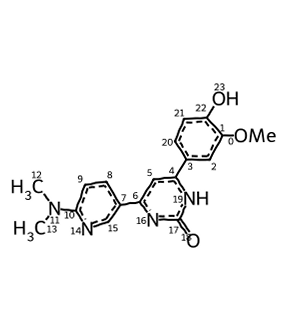 COc1cc(-c2cc(-c3ccc(N(C)C)nc3)nc(=O)[nH]2)ccc1O